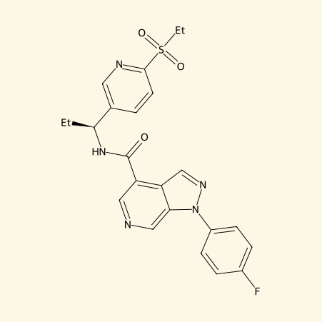 CC[C@H](NC(=O)c1cncc2c1cnn2-c1ccc(F)cc1)c1ccc(S(=O)(=O)CC)nc1